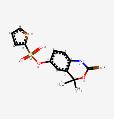 CC1(C)OC(=S)Nc2ccc(OS(=O)(=O)c3cccs3)cc21